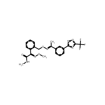 CNC(=O)/C(=N/OC)c1ccccc1CO/N=C(\C)c1cccc(-c2noc(C(F)(F)F)n2)c1